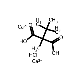 CC(C)(C)C(C)(C(=O)O)C(=O)O.Cl.[Ca+2].[Ca+2]